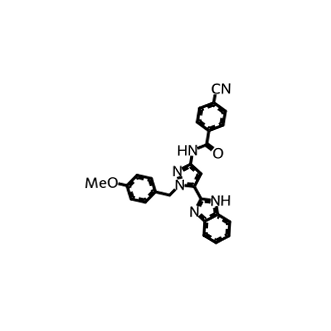 COc1ccc(Cn2nc(NC(=O)c3ccc(C#N)cc3)cc2-c2nc3ccccc3[nH]2)cc1